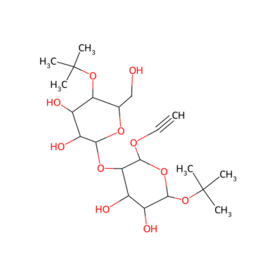 C#COC1OC(OC(C)(C)C)C(O)C(O)C1OC1OC(CO)C(OC(C)(C)C)C(O)C1O